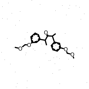 COCOc1cccc(C(C)C(=O)C(C)c2cccc(OCOC)c2)c1